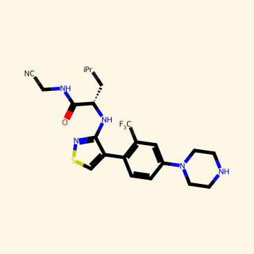 CC(C)C[C@H](Nc1nscc1-c1ccc(N2CCNCC2)cc1C(F)(F)F)C(=O)NCC#N